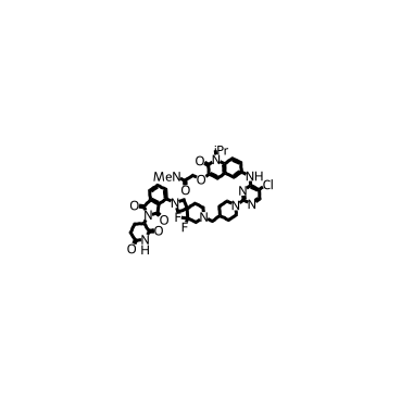 CNC(=O)COc1cc2cc(Nc3nc(N4CCC(CN5CCC6(CN(c7cccc8c7C(=O)N(C7CCC(=O)NC7=O)C8=O)C6)C(F)(F)C5)CC4)ncc3Cl)ccc2n(C(C)C)c1=O